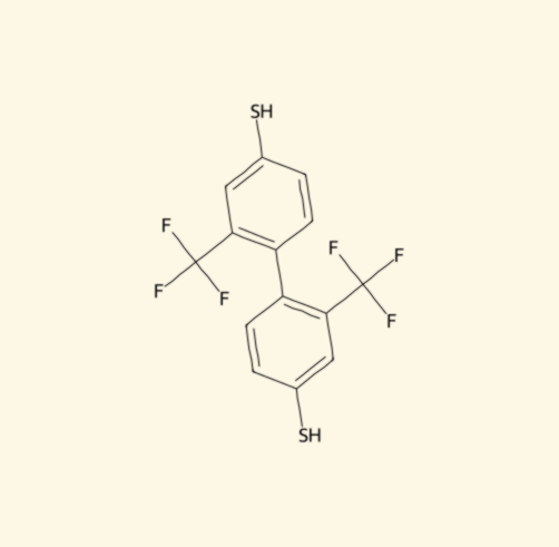 FC(F)(F)c1cc(S)ccc1-c1ccc(S)cc1C(F)(F)F